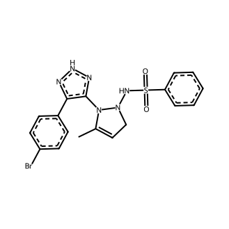 CC1=CCN(NS(=O)(=O)c2ccccc2)N1c1n[nH]nc1-c1ccc(Br)cc1